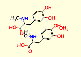 CN[C@@H](Cc1ccc(O)c(O)c1)C(=O)O.CN[C@@H](Cc1ccc(O)c(O)c1)C(=O)O.O